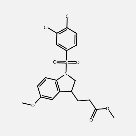 COC(=O)CCC1CN(S(=O)(=O)c2ccc(Cl)c(Cl)c2)c2ccc(OC)cc21